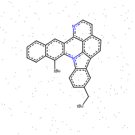 CC(C)(C)Cc1ccc2c(c1)c1ccc3ccnc4c5cc6ccccc6c(C(C)(C)C)c5n2c1c34